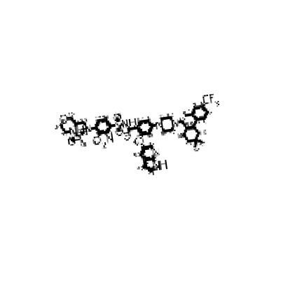 Cc1cc(C(F)(F)F)ccc1C1=C(CN2CCN(c3ccc(C(=O)NS(=O)(=O)c4ccc(NCC5COCCN5S(C)(=O)=O)c([N+](=O)[O-])c4)c(Oc4cnc5[nH]ccc5c4)c3)CC2)CCC(C)(C)C1